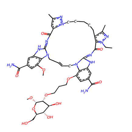 CCn1nc(C)c2c1C(=O)/N=C1\Nc3cc(C(N)=O)cc(OCCCO[C@H]4[C@@H](OC)O[C@H](CO)[C@@H](O)[C@@H]4O)c3N1C/C=C/CN1/C(=N\C(=O)c3cc(C)nn3CCCCC2)Nc2cc(C(N)=O)cc(OC)c21